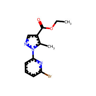 CCOC(=O)c1cnn(-c2cccc(Br)n2)c1C